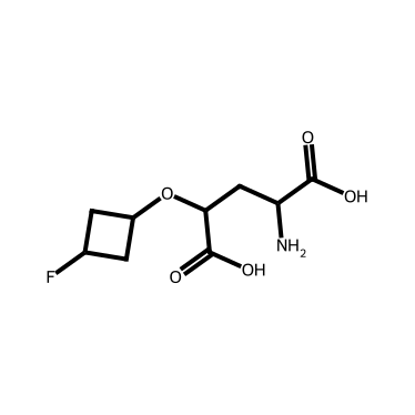 NC(CC(OC1CC(F)C1)C(=O)O)C(=O)O